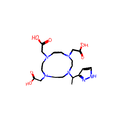 CC(c1cc[nH]n1)N1CCN(CC(=O)O)CCN(CC(=O)O)CCN(CC(=O)O)CC1